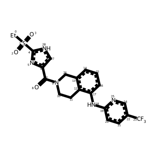 CCS(=O)(=O)c1nc(C(=O)N2CCc3c(cccc3Nc3ccc(C(F)(F)F)cn3)C2)c[nH]1